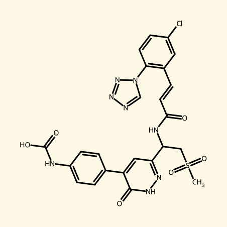 CS(=O)(=O)CC(NC(=O)C=Cc1cc(Cl)ccc1-n1cnnn1)c1cc(-c2ccc(NC(=O)O)cc2)c(=O)[nH]n1